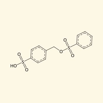 O=S(=O)(O)c1ccc(COS(=O)(=O)c2ccccc2)cc1